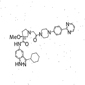 CO[C@@]1(C(=O)Nc2ccc3[nH]nc(C4CCCCC4)c3c2)CCN(CC(=O)N2CCN(c3ccc(-c4ncccn4)cc3)CC2)C1